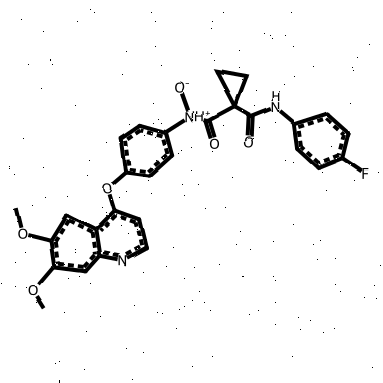 COc1cc2nccc(Oc3ccc([NH+]([O-])C(=O)C4(C(=O)Nc5ccc(F)cc5)CC4)cc3)c2cc1OC